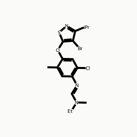 CCN(C)C=Nc1cc(C)c(Oc2snc(C(C)C)c2Br)cc1Cl